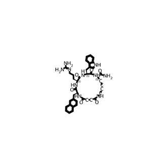 NC(=O)[C@@H]1CCCCNC(=O)CCC(=O)N[C@@H](Cc2ccc3ccccc3c2)C(=O)N[C@@H](CCCN=C(N)N)C(=O)N[C@@H](Cc2c[nH]c3ccccc23)C(=O)N1